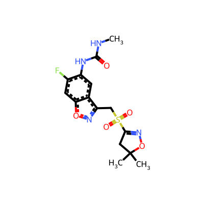 CNC(=O)Nc1cc2c(CS(=O)(=O)C3=NOC(C)(C)C3)noc2cc1F